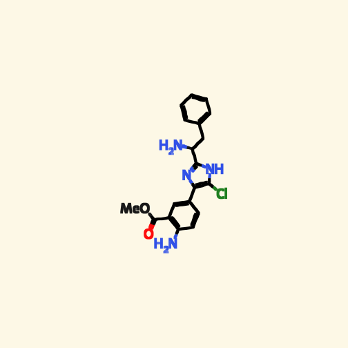 COC(=O)c1cc(-c2nc([C@@H](N)Cc3ccccc3)[nH]c2Cl)ccc1N